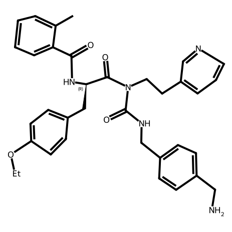 CCOc1ccc(C[C@@H](NC(=O)c2ccccc2C)C(=O)N(CCc2cccnc2)C(=O)NCc2ccc(CN)cc2)cc1